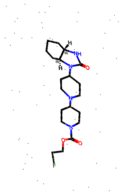 O=C(OCCF)N1CCC(N2CCC(N3C(=O)N[C@H]4CCCC[C@@H]43)CC2)CC1